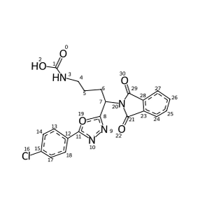 O=C(O)NCCCC(c1nnc(-c2ccc(Cl)cc2)o1)N1C(=O)c2ccccc2C1=O